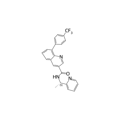 C[C@H](NC(=O)c1cnc2c(-c3ccc(C(F)(F)F)cc3)cccc2c1)c1ccccn1